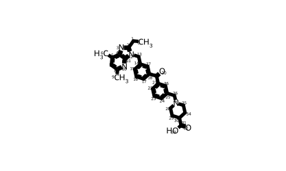 CCc1nc2c(C)cc(C)nc2n1Cc1cccc(C(=O)c2cccc(CN3CCC(C(=O)O)CC3)c2)c1